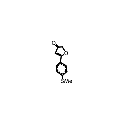 CSc1ccc(C2=CC(=O)CO2)cc1